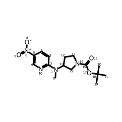 CN(c1ccc([N+](=O)[O-])cn1)C1CCN(C(=O)OC(C)(C)C)C1